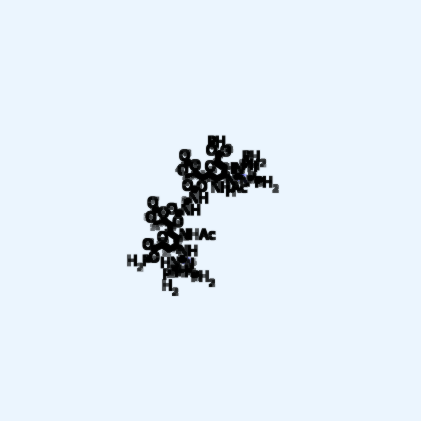 CC(=O)N[C@H]1[C@H]([C@H](OC(=O)NCNC(=O)O[C@@H]([C@@H]2OC(C(=O)OP)=C[C@H](N/C(=N/PP)NPP)[C@H]2NC(C)=O)[C@H]2COC(=O)O2)[C@H]2COC(=O)O2)OC(C(=O)OP)=C[C@@H]1N/C(=N/PP)NPP